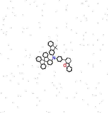 CC1(C)c2ccccc2-c2ccc(N(c3ccc(C4=CCCc5c4oc4ccccc54)cc3)c3cccc4c3-c3ccccc3C43c4ccccc4-c4ccccc43)cc21